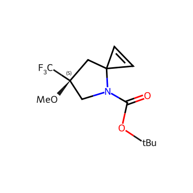 CO[C@]1(C(F)(F)F)CN(C(=O)OC(C)(C)C)C2(C=C2)C1